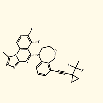 Cc1nnc2nc(N3CCOCc4c(C#CC5(C(C)(F)F)CC5)cccc43)c3c(F)c(F)ccc3n12